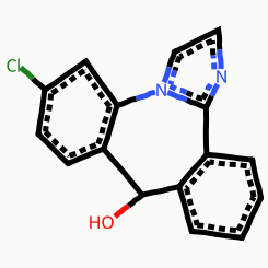 OC1c2ccccc2-c2nccn2-c2cc(Cl)ccc21